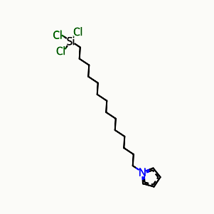 Cl[Si](Cl)(Cl)CCCCCCCCCCCCCCn1cccc1